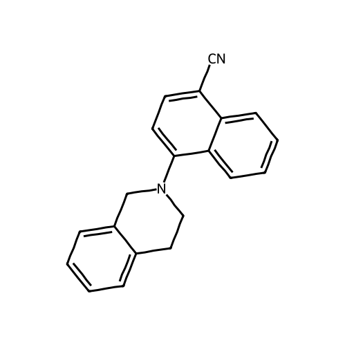 N#Cc1ccc(N2CCc3ccccc3C2)c2ccccc12